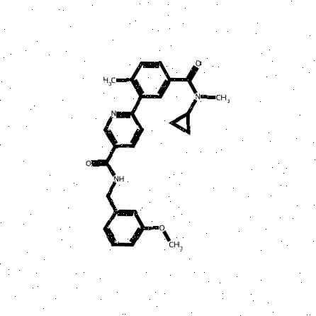 COc1cccc(CNC(=O)c2ccc(-c3cc(C(=O)N(C)C4CC4)ccc3C)nc2)c1